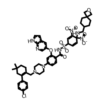 CC1(C)CCC(CN2CCN(c3ccc(C(=O)NS(=O)(=O)C4C=CC(NCC5CCC6(CC5)COC6)([N+](=O)[O-])C([N+](=O)[O-])=C4)c(Oc4cnc5[nH]ccc5c4)c3)CC2)=C(c2ccc(Cl)cc2)C1